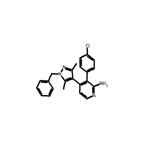 Cc1nn(Cc2ccccc2)c(C)c1-c1ccnc(N)c1-c1ccc(Cl)cc1